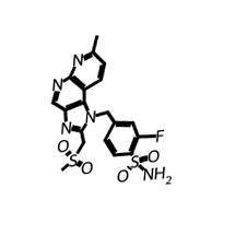 Cc1ccc2c(ncc3nc(CS(C)(=O)=O)n(Cc4ccc(S(N)(=O)=O)c(F)c4)c32)n1